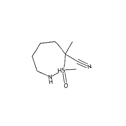 CC1(C#N)CCCCN[SH]1(C)=O